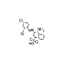 N#Cc1cc(Cl)ccc1N=Nc1cc(S(=O)(=O)O)c2ccccc2c1N